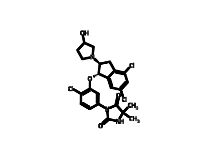 CC1(C)NC(=O)N(c2ccc(Cl)c(O[C@H]3c4cc(Cl)cc(Cl)c4C[C@@H]3N3CCC(O)C3)c2)C1=O